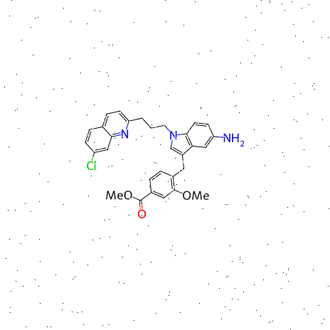 COC(=O)c1ccc(Cc2cn(CCCc3ccc4ccc(Cl)cc4n3)c3ccc(N)cc23)c(OC)c1